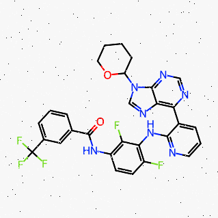 O=C(Nc1ccc(F)c(Nc2ncccc2-c2ncnc3c2ncn3C2CCCCO2)c1F)c1cccc(C(F)(F)F)c1